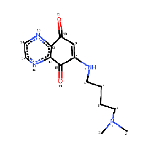 CN(C)CCCCNC1=CC(=O)c2nccnc2C1=O